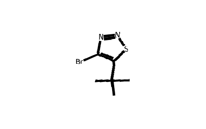 CC(C)(C)c1snnc1Br